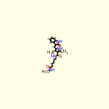 CC(=O)ONC(=O)CCCCCNC(=O)c1c(C)[nH]c(C=C2C(=O)Nc3ccc(F)cc32)c1C